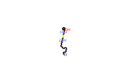 CC/C=C\C/C=C\C/C=C\C/C=C\C/C=C\CCCC(=O)NCCSSCCNC(=O)c1ccccc1O